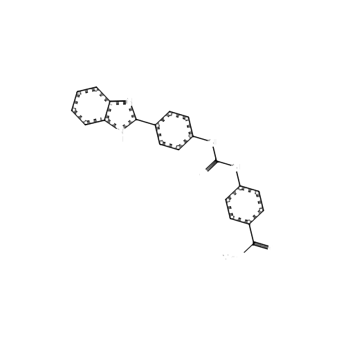 COC(=O)c1ccc(NC(=O)Nc2ccc(-c3nc4ccccc4[nH]3)cc2)cc1